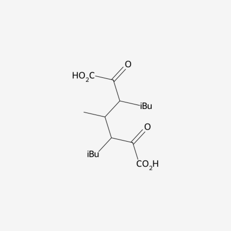 CCC(C)C(C(=O)C(=O)O)C(C)C(C(=O)C(=O)O)C(C)CC